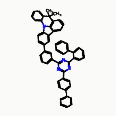 CC1(C)c2ccccc2-n2c3ccc(-c4cccc(-c5nc(-c6ccc(-c7ccccc7)cc6)nc(-c6ccccc6-c6ccccc6)n5)c4)cc3c3cccc1c32